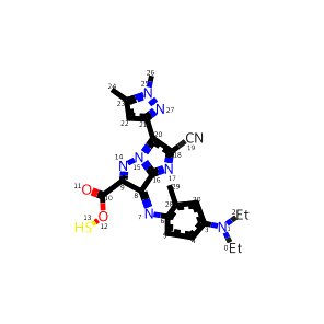 CCN(CC)c1ccc(/N=C2/C(C(=O)OS)=Nn3c2nc(C#N)c3-c2cc(C)n(C)n2)c(C)c1